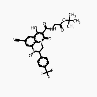 CC(C)(C)OC(=O)CNC(=O)c1c(O)c2cc(C#N)cc3c2n(c1=O)CC(c1ccc(C(F)(F)F)cc1)[S+]3[O-]